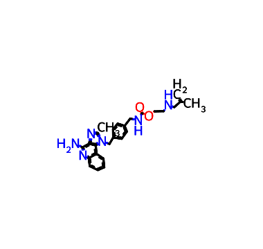 C=C(C)CNCCOC(=O)NCc1ccc(Cn2c(C)nc3c(N)nc4ccccc4c32)cc1